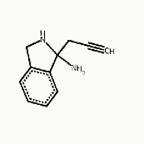 C#CCC1(N)NCc2ccccc21